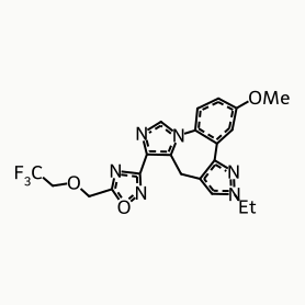 CCn1cc2c(n1)-c1cc(OC)ccc1-n1cnc(-c3noc(COCC(F)(F)F)n3)c1C2